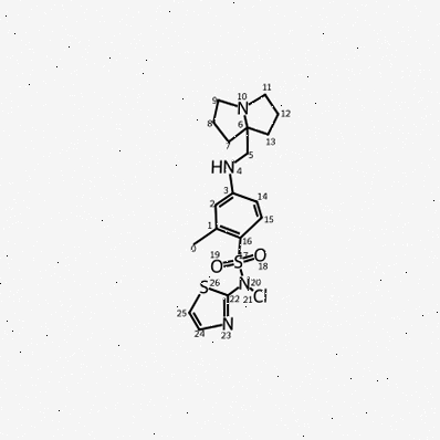 Cc1cc(NCC23CCCN2CCC3)ccc1S(=O)(=O)N(Cl)c1nccs1